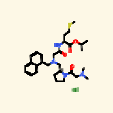 CSCCC(NC(=O)CN(Cc1cccc2ccccc12)C[C@@H]1CCCN1C(=O)CN(C)C)C(=O)OC(C)C.Cl